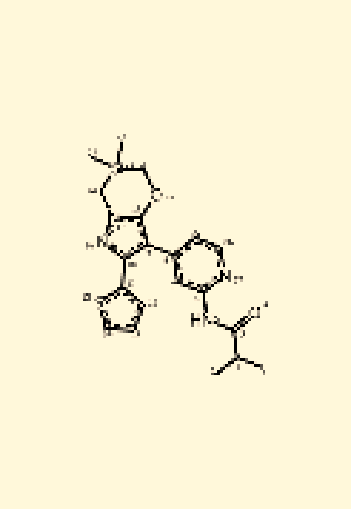 CC(C)C(=O)Nc1cc(-c2c(-c3cccs3)nn3c2OC[Si](C)(C)C3)ccn1